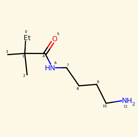 CCC(C)(C)C(=O)NCCCCN